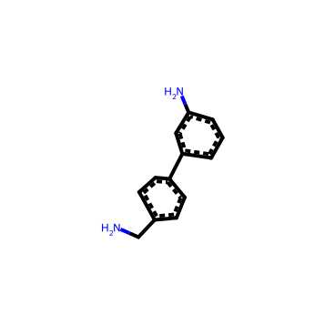 NCc1ccc(-c2cccc(N)c2)cc1